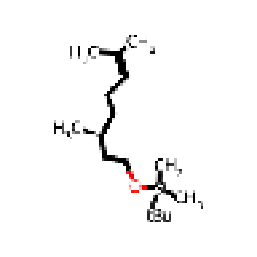 CC(C)=CCC[C@H](C)CCO[Si](C)(C)C(C)(C)C